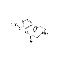 CCOc1ncccc1OC(C(C)C)C1CNCCO1